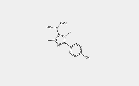 CON(O)c1c(C)nn(-c2ccc(C#N)cc2)c1C